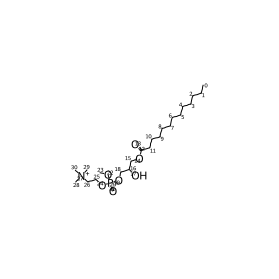 CCCCCCCCCCCCC(=O)OCC(O)COP(=O)(OC)OCC[N+](C)(C)C